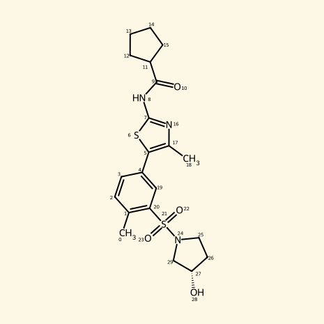 Cc1ccc(-c2sc(NC(=O)C3CCCC3)nc2C)cc1S(=O)(=O)N1CC[C@H](O)C1